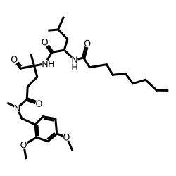 CCCCCCCCC(=O)NC(CC(C)C)C(=O)NC(C)(C=O)CCC(=O)N(C)Cc1ccc(OC)cc1OC